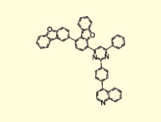 c1ccc(-c2cc(-c3ccc(-c4ccc5oc6ccccc6c5c4)c4c3oc3ccccc34)nc(-c3ccc(-c4ccnc5ccccc45)cc3)n2)cc1